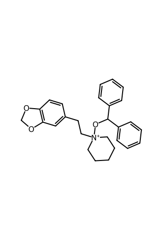 c1ccc(C(O[N+]2(CCc3ccc4c(c3)OCO4)CCCCC2)c2ccccc2)cc1